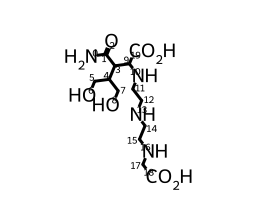 NC(=O)C(C(CO)CO)C(NCCNCCNCC(=O)O)C(=O)O